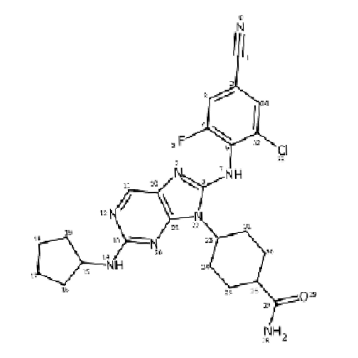 N#Cc1cc(F)c(Nc2nc3cnc(NC4CCCC4)nc3n2C2CCC(C(N)=O)CC2)c(Cl)c1